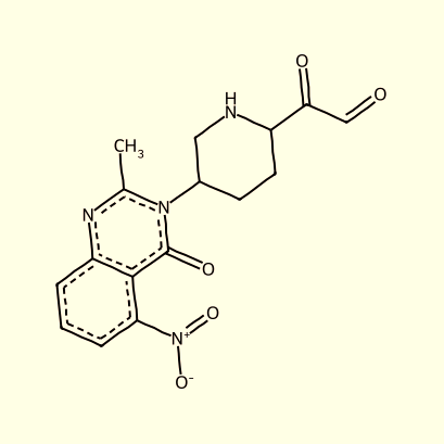 Cc1nc2cccc([N+](=O)[O-])c2c(=O)n1C1CCC(C(=O)C=O)NC1